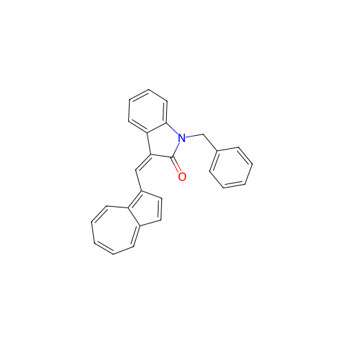 O=C1C(=Cc2ccc3cccccc2-3)c2ccccc2N1Cc1ccccc1